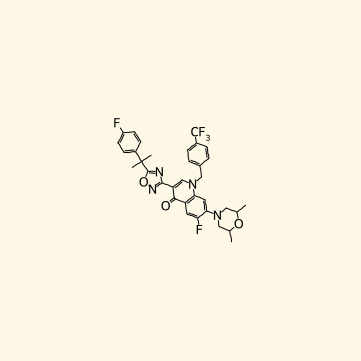 CC1CN(c2cc3c(cc2F)c(=O)c(-c2noc(C(C)(C)c4ccc(F)cc4)n2)cn3Cc2ccc(C(F)(F)F)cc2)CC(C)O1